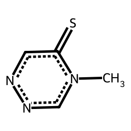 Cn1cnncc1=S